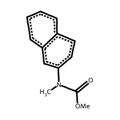 [CH2]OC(=O)N(C)c1ccc2ccccc2c1